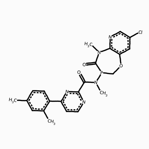 Cc1ccc(-c2ccnc(C(=O)N(C)P3COc4cc(Cl)cnc4N(C)C3=O)n2)c(C)c1